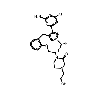 Nc1nc(Cl)cc(-c2nn(C(F)F)cc2Cc2ccccc2OCCN2CCN(CCO)CC2=O)n1